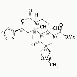 C=CC[C@]1(COC)C[C@@H](C(=O)OC)[C@]2(C)CC[C@@H]3C(=O)O[C@H](c4ccoc4)C[C@]3(C)[C@@H]2C1=O